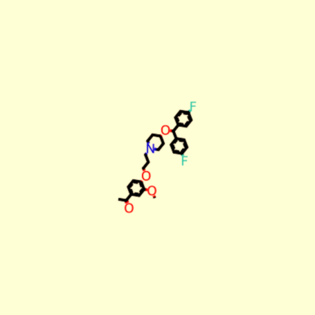 COc1cc(C(C)=O)ccc1OCCCN1CCC(OC(c2ccc(F)cc2)c2ccc(F)cc2)CC1